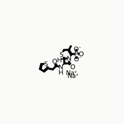 CC1=C(P(=O)([O-])[O-])N2C(=O)[C@@H](NC(=O)Cc3cccs3)[C@@H]2SC1.[Na+].[Na+]